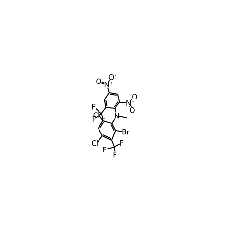 CN(c1c([N+](=O)[O-])cc([N+](=O)[O-])cc1C(F)(F)F)c1c(Cl)cc(Cl)c(C(F)(F)F)c1Br